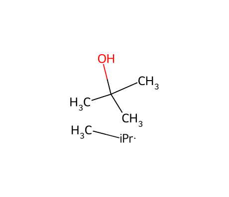 CC(C)(C)O.C[C](C)C